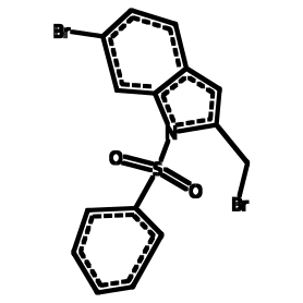 O=S(=O)(c1ccccc1)n1c(CBr)cc2ccc(Br)cc21